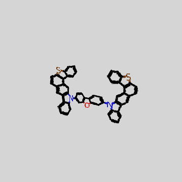 c1ccc2c(c1)sc1ccc3cc4c5ccccc5n(-c5ccc6c(c5)oc5cc(-n7c8ccccc8c8cc9ccc%10sc%11ccccc%11c%10c9cc87)ccc56)c4cc3c12